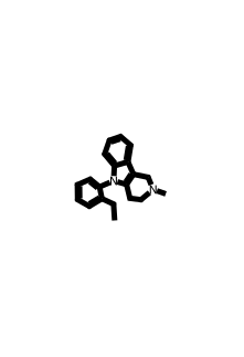 CCc1ccccc1-n1c2c(c3ccccc31)CN(C)CC2